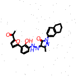 CC(=O)c1ccc(-c2cccc(N/N=C3\C(=O)N(c4ccc5c(c4)CCCC5)N=C3C)c2O)o1